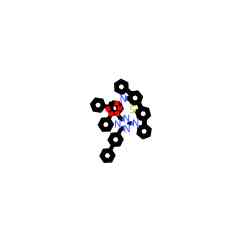 c1ccc(-c2ccc(-c3nc(-c4ccccc4-c4ccccc4)nc(-n4c5ccccc5c5ccc6c7ccc8c9ccccc9n(-c9cccc(-c%10ccccc%10)c9)c8c7sc6c54)n3)cc2)cc1